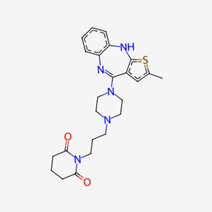 Cc1cc2c(s1)Nc1ccccc1N=C2N1CCN(CCCN2C(=O)CCCC2=O)CC1